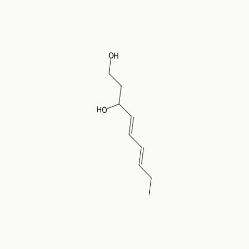 CC/C=C/C=C/C(O)CCO